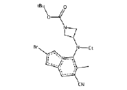 CCN(c1c(C)c(C#N)cc2cc(Br)cn12)C1CN(C(=O)OC(C)(C)C)C1